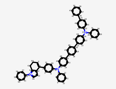 C1=C(c2ccc(N(c3ccccc3)c3ccc(-c4ccc(-c5ccc(N(c6ccccc6)c6ccc(-c7ccccc7)cc6)cc5)cc4)cc3)cc2)c2ccn(-c3ccccc3)c2CC1